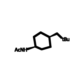 CC(=O)N[C@H]1CC[C@@H](CC(C)(C)C)CC1